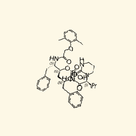 Cc1cccc(C)c1OCC(=O)N[C@@H](Cc1ccccc1)[C@H](C[C@H](Cc1ccccc1)NC(=O)[C@H](C(C)C)N1CCCNC1=O)OP(=O)(O)O